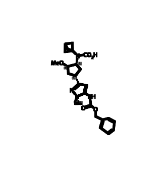 CO[C@@H]1C[C@@H](c2cc(NC(=O)OCc3ccccc3)n(C(C)(C)C)n2)C[C@@H]1N(C(=O)O)C12CC(C1)C2